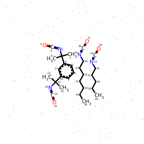 CC(C)(N=C=O)c1cccc(C(C)(C)N=C=O)c1.CCCCCCCN=C=O.CCCCCN=C=O